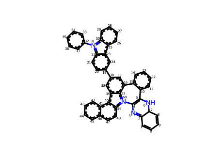 C1=CC2=NC3=C(NC2C=C1)c1ccccc1-c1cc(-c2ccc4c(c2)c2ccccc2n4-c2ccccc2)cc2c4c5ccccc5ccc4n3c12